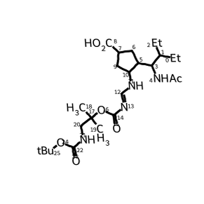 CCC(CC)C(NC(C)=O)C1CC(C(=O)O)CC1NC=NC(=O)OC(C)(C)CNC(=O)OC(C)(C)C